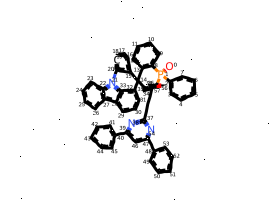 O=P1(c2ccccc2)c2ccccc2C2(c3ccccc3-n3c4ccccc4c4cccc2c43)c2cc(-c3nc(-c4ccccc4)cc(-c4ccccc4)n3)ccc21